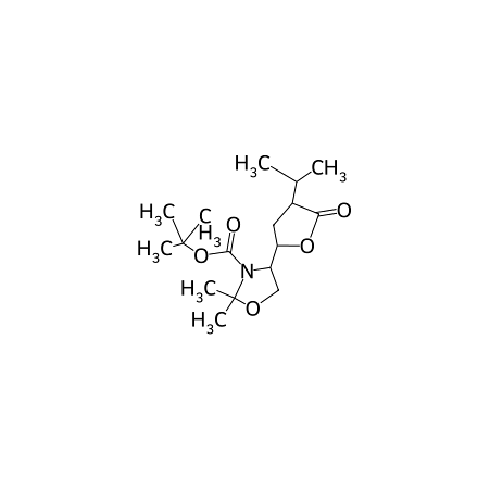 CC(C)C1CC(C2COC(C)(C)N2C(=O)OC(C)(C)C)OC1=O